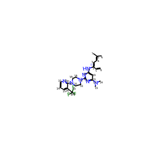 C=C/C(=C\C=C(C)C)Nc1cc(N(C)C)nc(N2CCN(c3ncccc3C(F)(F)F)CC2)n1